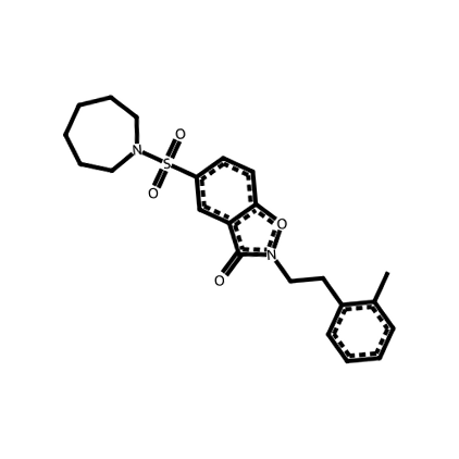 Cc1ccccc1CCn1oc2ccc(S(=O)(=O)N3CCCCCC3)cc2c1=O